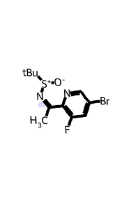 C/C(=N/[S+]([O-])C(C)(C)C)c1ncc(Br)cc1F